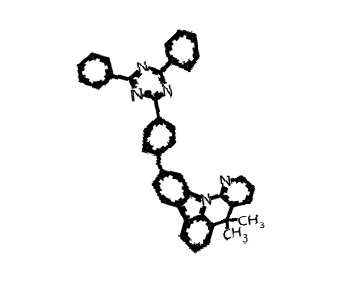 CC1(C)c2cccnc2-n2c3cc(-c4ccc(-c5nc(-c6ccccc6)nc(-c6ccccc6)n5)cc4)ccc3c3cccc1c32